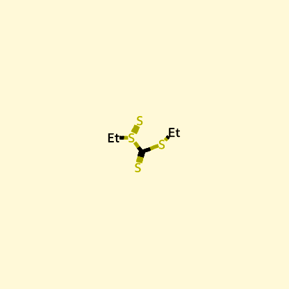 CCSC(=S)S(=S)CC